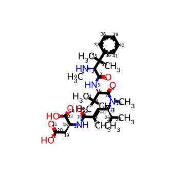 CN[C@H](C(=O)N[C@H](C(=O)N(C)[C@H](/C=C(\C)C(=O)N[C@@H](CC(=O)O)C(=O)O)C(C)C)C(C)(C)C)C(C)(C)c1ccccc1